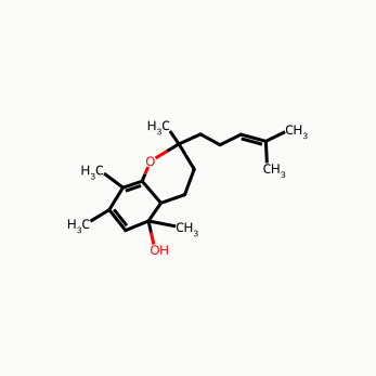 CC(C)=CCCC1(C)CCC2C(=C(C)C(C)=CC2(C)O)O1